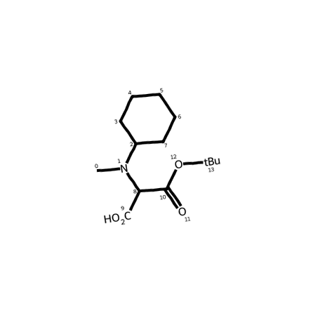 CN(C1CCCCC1)C(C(=O)O)C(=O)OC(C)(C)C